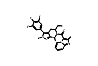 CCC1Cc2c(nn(C)c2-c2cc(F)c(F)c(F)c2)C(C)N1C(=O)c1c(C)nc2ccccn12